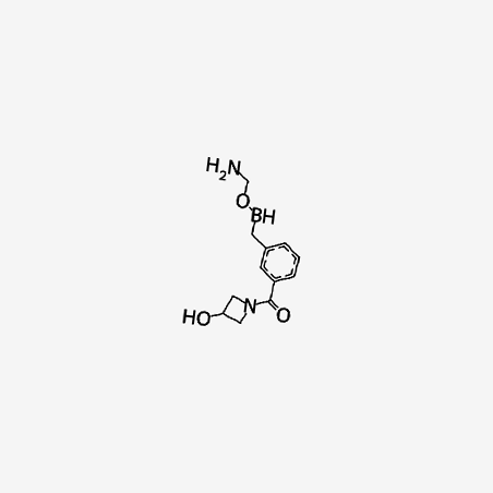 NCOBCc1cccc(C(=O)N2CC(O)C2)c1